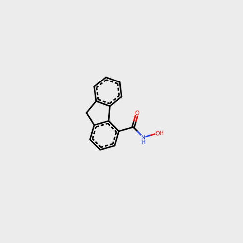 O=C(NO)c1cccc2c1-c1ccccc1C2